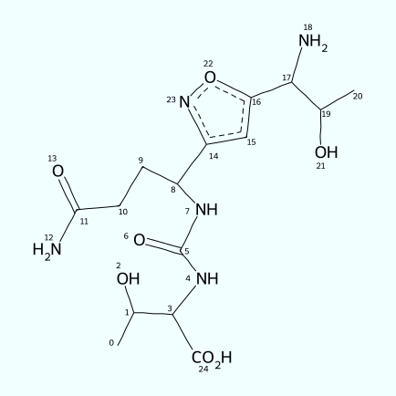 CC(O)C(NC(=O)NC(CCC(N)=O)c1cc(C(N)C(C)O)on1)C(=O)O